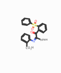 CCCCCCC(=Nc1ccccc1C(=O)O)C(=O)c1ccccc1S(=O)(=O)c1ccccc1